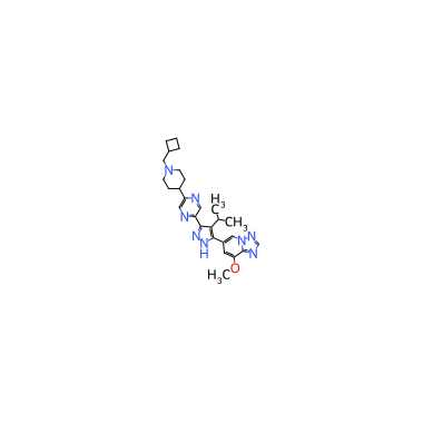 COc1cc(-c2[nH]nc(-c3cnc(C4CCN(CC5CCC5)CC4)cn3)c2C(C)C)cn2ncnc12